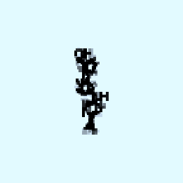 OCC12CCC(C1)N(c1nccc(Nc3cnc(C4CC4)cn3)n1)C2